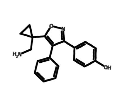 NCC1(c2onc(-c3ccc(O)cc3)c2-c2ccccc2)CC1